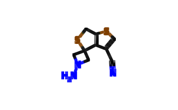 N#Cc1csc2c1C1(CN(N)C1)SC2